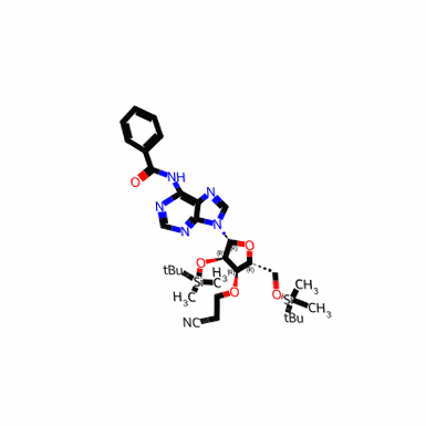 CC(C)(C)[Si](C)(C)OC[C@H]1O[C@@H](n2cnc3c(NC(=O)c4ccccc4)ncnc32)[C@H](O[Si](C)(C)C(C)(C)C)[C@@H]1OCCC#N